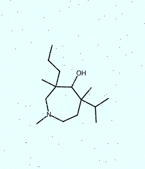 CCCC1(C)CN(C)CCC(C)(C(C)C)C1O